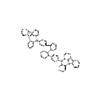 c1ccc(-c2ccccc2-c2ccc(N3c4ccccc4-n4c5ccccc5c5cccc3c54)cc2)c(-c2ccc(N3c4ccccc4-n4c5ccccc5c5cccc3c54)cc2)c1